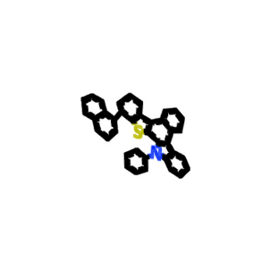 c1ccc(-n2c3ccccc3c3c4ccccc4c4c5cccc(-c6cccc7ccccc67)c5sc4c32)cc1